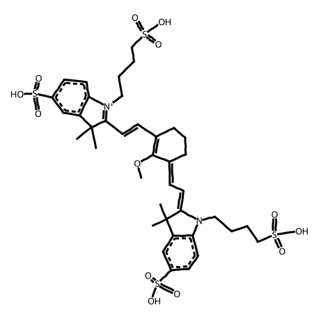 COC1=C(/C=C/C2=[N+](CCCCS(=O)(=O)O)c3ccc(S(=O)(=O)O)cc3C2(C)C)CCC/C1=C\C=C1\N(CCCCS(=O)(=O)O)c2ccc(S(=O)(=O)O)cc2C1(C)C